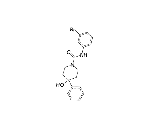 O=C(Nc1cccc(Br)c1)N1CCC(O)(c2ccccc2)CC1